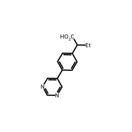 CCC(C(=O)O)c1ccc(-c2cncnc2)cc1